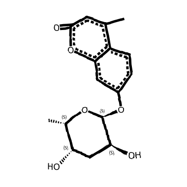 Cc1cc(=O)oc2cc(O[C@@H]3O[C@@H](C)[C@@H](O)C[C@@H]3O)ccc12